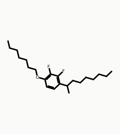 CCCC[CH]CCC(C)c1ccc(OCCCCCCC)c(F)c1F